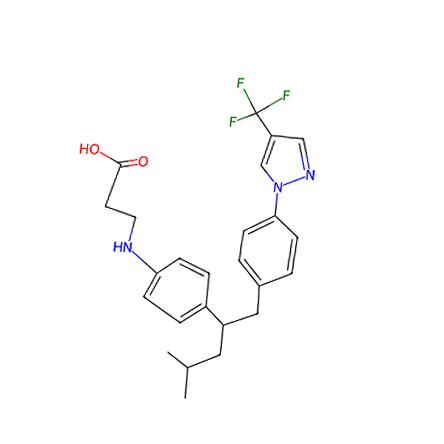 CC(C)CC(Cc1ccc(-n2cc(C(F)(F)F)cn2)cc1)c1ccc(NCCC(=O)O)cc1